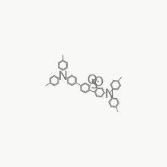 Cc1ccc(N(c2ccc(C)cc2)c2ccc(-c3ccc4c(c3)S(=O)(=O)c3cc(N(c5ccc(C)cc5)c5ccc(C)cc5)ccc3-4)cc2)cc1